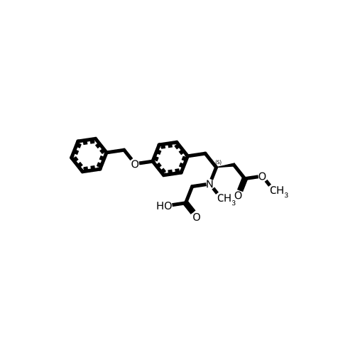 COC(=O)C[C@H](Cc1ccc(OCc2ccccc2)cc1)N(C)CC(=O)O